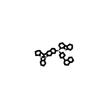 c1ccc2c(-c3ccc(N(c4ccc5cc6c7c8ccccc8n8c9ccccc9n(c6cc5c4)c78)c4cccc5c4sc4ccccc45)cc3)cccc2c1